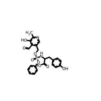 Cc1ncc(COP(=O)(NC(Cc2ccc(O)cc2)C(=O)O)Oc2ccccc2)c(C=O)c1O